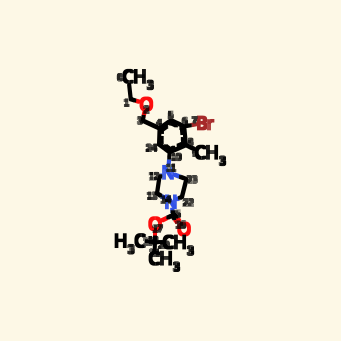 CCOCc1cc(Br)c(C)c(N2CCN(C(=O)OC(C)(C)C)CC2)c1